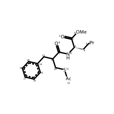 COC(=O)[C@H](CC(C)C)NC(=O)C(CSC(C)=O)Cc1ccccc1